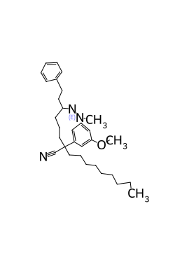 CCCCCCCCCC(C#N)(CCCC(CCc1ccccc1)/N=N/C)c1cccc(OC)c1